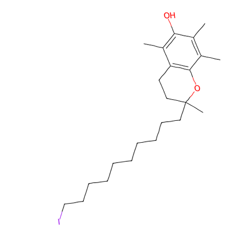 Cc1c(C)c2c(c(C)c1O)CCC(C)(CCCCCCCCCCI)O2